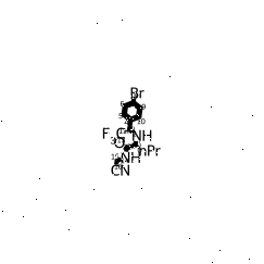 CCC[C@H](N[C@@H](c1ccc(Br)cc1)C(F)(F)F)C(=O)NCC#N